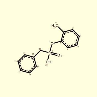 Cc1ccccc1OP(=O)(O)Cc1ccccc1